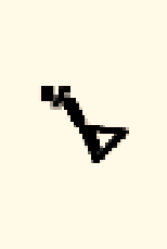 C=I1=CC1